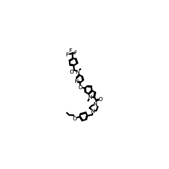 CCCOc1ccc(CN2CCN(C(=O)c3cc4ccc(Oc5ccc(N(C)C(=O)c6ccc(C(F)(F)F)cc6)cn5)cc4n3C)CC2)cc1